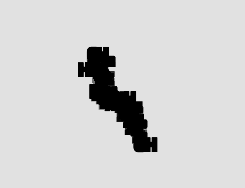 C=CC(=O)Nc1cccc(-n2ncc3cnc(Nc4ccc(N5CCN(CCO)CC5)c(F)c4)nc32)c1